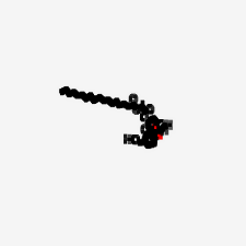 CCCCCCCCCCCCCCCCCC(=O)O[C@@H](C)C(=O)OC1=CC[C@@]2(O)[C@H]3Cc4ccc(CO)c5c4C2(CCN3C)C1O5